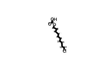 O=C(O)OCCCCCCCCCCCl